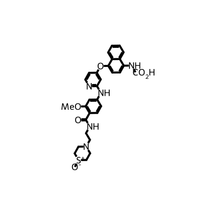 COc1cc(Nc2cc(Oc3ccc(NC(=O)O)c4ccccc34)ccn2)ccc1C(=O)NCCN1CC[S+]([O-])CC1